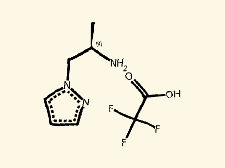 C[C@@H](N)Cn1cccn1.O=C(O)C(F)(F)F